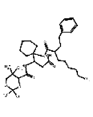 CCCCCCC(CCc1ccccc1)C(=O)NC1(C(CC(=O)O)NC(=O)C2OC(C)(C)OCC2(C)C)CCCCC1